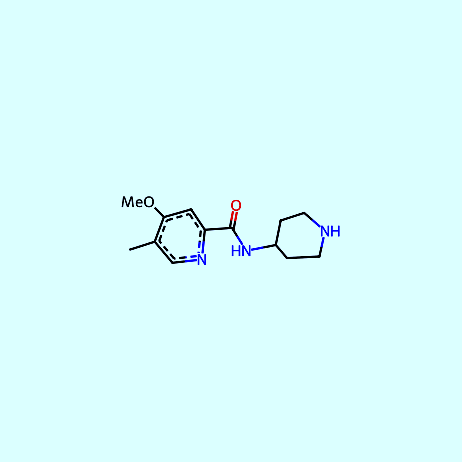 COc1cc(C(=O)NC2CCNCC2)ncc1C